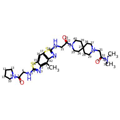 Cc1c2nc(NCC(=O)N3CCCC3)sc2cc2sc(NCC(=O)N3CCC4(CCN(CC(=O)N(C)C)CC4)CC3)nc12